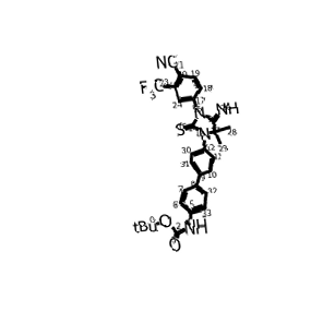 CC(C)(C)OC(=O)Nc1ccc(-c2ccc(N3C(=S)N(c4ccc(C#N)c(C(F)(F)F)c4)C(=N)C3(C)C)cc2)cc1